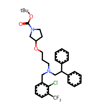 CC(C)(C)OC(=O)N1CCC(OCCCN(Cc2cccc(C(F)(F)F)c2Cl)CC(c2ccccc2)c2ccccc2)C1